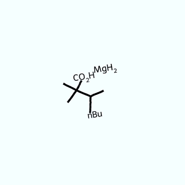 CCCCC(C)C(C)(C)C(=O)O.[MgH2]